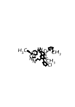 CC#CC(=O)N1CC[C@H](n2nnc3c(OC[C@@H]4CCCN4C)nc4c(F)c(-c5cccc(Cl)c5C)c(CCC#N)cc4c32)C[C@H]1CC#N